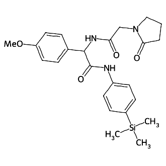 COc1ccc(C(NC(=O)CN2CCCC2=O)C(=O)Nc2ccc([Si](C)(C)C)cc2)cc1